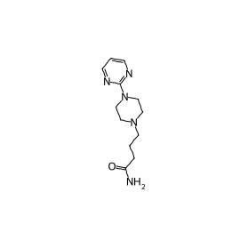 NC(=O)CCCN1CCN(c2ncccn2)CC1